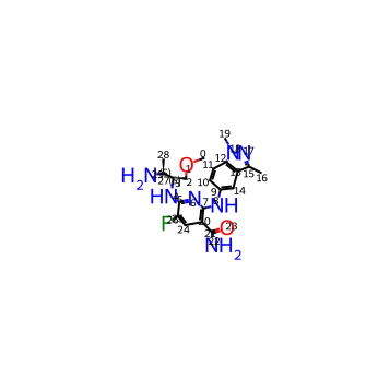 COC[C@@H](Nc1nc(Nc2ccc3c(c2)c(C)nn3C)c(C(N)=O)cc1F)[C@H](C)N